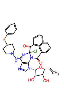 C=C[C@H]1O[C@@H](n2cnc3c2N(C(=O)c2ccccc2)C(Cl)(C(=O)c2ccccc2)N=C3NN2CCC(Sc3ccccc3)CC2)C(O)C1O